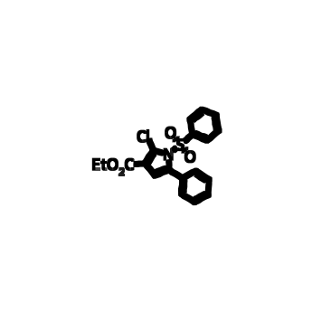 CCOC(=O)c1cc(-c2ccccc2)n(S(=O)(=O)c2ccccc2)c1Cl